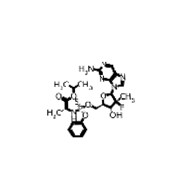 CC(C)OC(=O)[C@@H](C)NP(=S)(OC[C@H]1OC(n2cnc3cnc(N)nc32)[C@](C)(F)[C@@H]1O)Oc1ccccc1